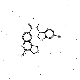 CN(C(=O)c1ccc2nc(N)c3c(c2c1)COC3)[C@@H]1COc2cc(Br)cnc21